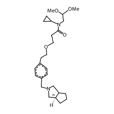 COC(CN(C(=O)CCOCCc1ccc(CN2CC3CCC[C@H]3C2)cc1)C1CC1)OC